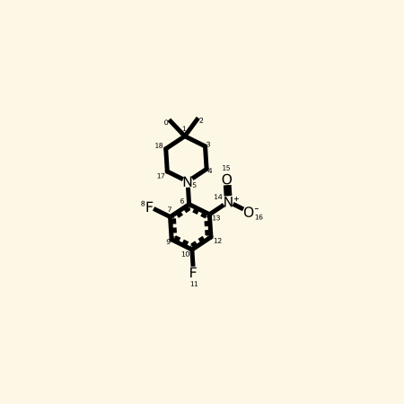 CC1(C)CCN(c2c(F)cc(F)cc2[N+](=O)[O-])CC1